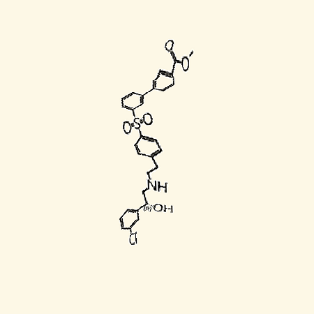 COC(=O)c1ccc(-c2cccc(S(=O)(=O)c3ccc(CCNC[C@H](O)c4cccc(Cl)c4)cc3)c2)cc1